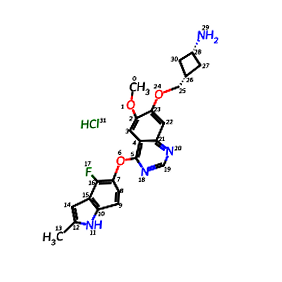 COc1cc2c(Oc3ccc4[nH]c(C)cc4c3F)ncnc2cc1OC[C@H]1C[C@@H](N)C1.Cl